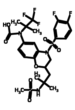 CC(C)(CC1CN(S(=O)(=O)c2ccc(F)c(F)c2)c2cc(N(C(=O)O)C(C)(C)C(F)(F)F)ccc2O1)NS(C)(=O)=O